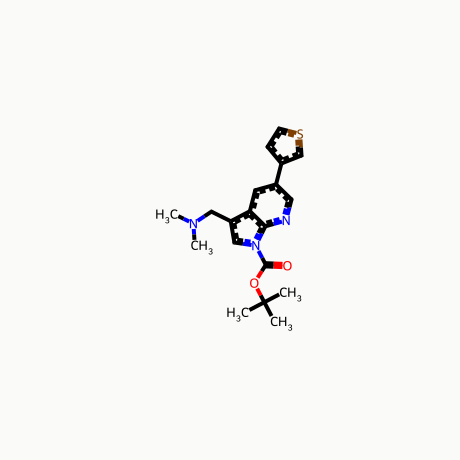 CN(C)Cc1cn(C(=O)OC(C)(C)C)c2ncc(-c3ccsc3)cc12